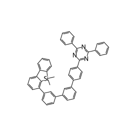 C[Si]1(C)c2ccccc2-c2cccc(-c3cccc(-c4cccc(-c5ccc(-c6nc(-c7ccccc7)nc(-c7ccccc7)n6)cc5)c4)c3)c21